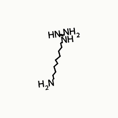 N=C(N)NCCCCCCCCCCN